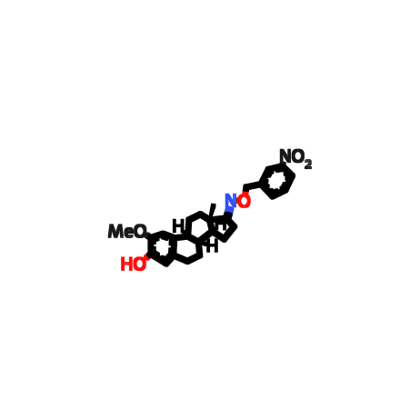 COc1cc2c(cc1O)CC[C@@H]1[C@@H]2CC[C@]2(C)C(=NOCc3cccc([N+](=O)[O-])c3)CC[C@@H]12